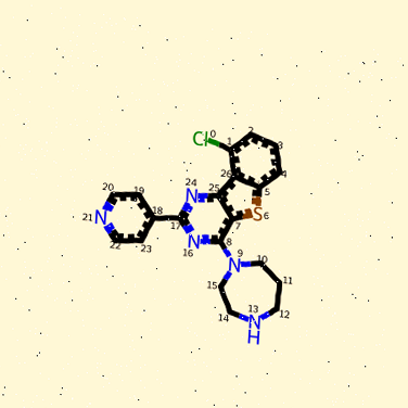 Clc1cccc2sc3c(N4CCCNCC4)nc(-c4ccncc4)nc3c12